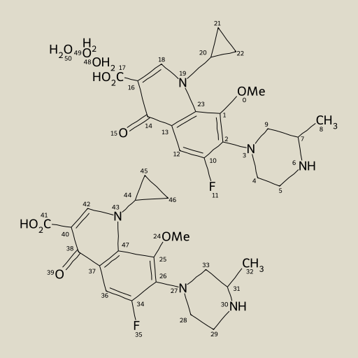 COc1c(N2CCNC(C)C2)c(F)cc2c(=O)c(C(=O)O)cn(C3CC3)c12.COc1c(N2CCNC(C)C2)c(F)cc2c(=O)c(C(=O)O)cn(C3CC3)c12.O.O.O